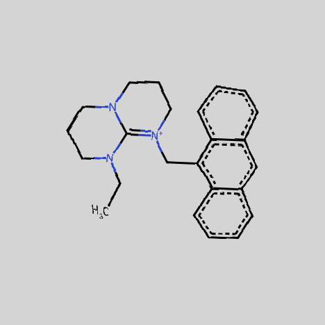 CCN1CCCN2CCC[N+](Cc3c4ccccc4cc4ccccc34)=C12